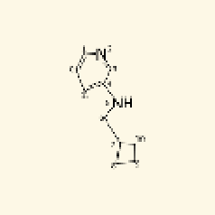 [c]1cncc(NCC2CCC2)c1